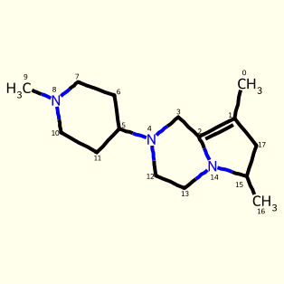 CC1=C2CN(C3CCN(C)CC3)CCN2C(C)C1